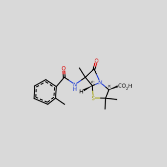 Cc1ccccc1C(=O)NC1(C)C(=O)N2[C@@H](C(=O)O)C(C)(C)S[C@@H]21